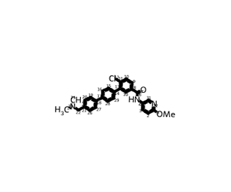 COc1ccc(NC(=O)c2ccc(Cl)c(-c3ccc(-c4ccc(CN(C)C)cc4)cc3)c2)cn1